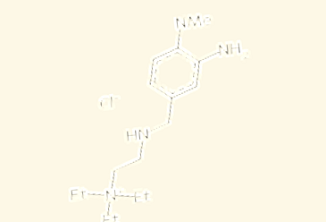 CC[N+](CC)(CC)CCNCc1ccc(NC)c(N)c1.[Cl-]